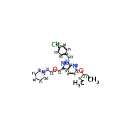 CCC(CC)Oc1ccc2c(COCCN3CCCCC3)nn(Cc3ccc(Cl)cc3)c2n1